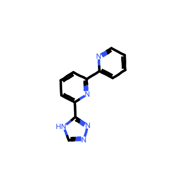 c1ccc(-c2cccc(-c3nnc[nH]3)n2)nc1